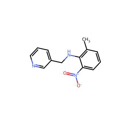 Cc1cccc([N+](=O)[O-])c1NCc1cccnc1